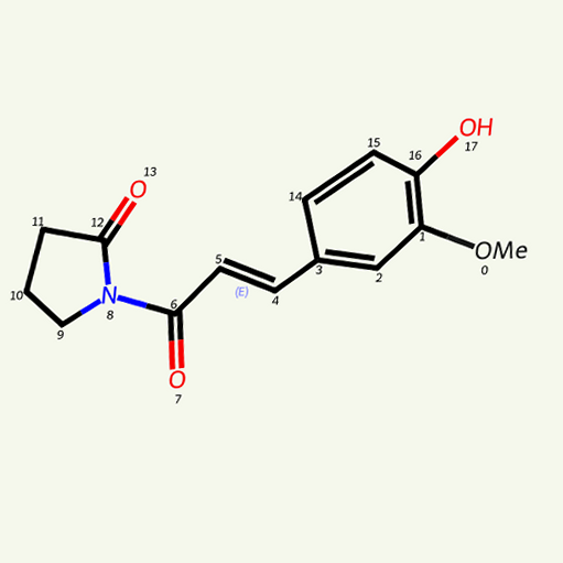 COc1cc(/C=C/C(=O)N2CCCC2=O)ccc1O